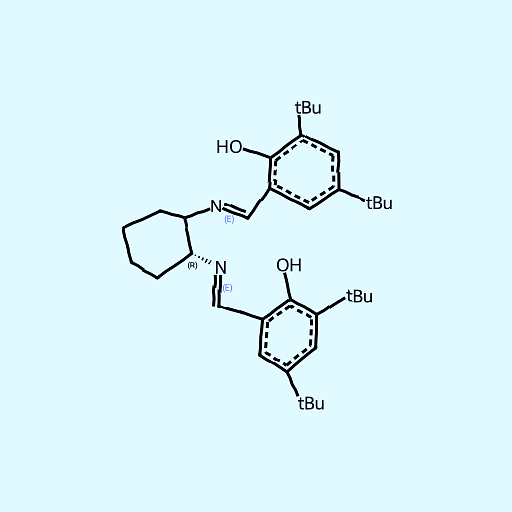 CC(C)(C)c1cc(/C=N/C2CCCC[C@H]2/N=C/c2cc(C(C)(C)C)cc(C(C)(C)C)c2O)c(O)c(C(C)(C)C)c1